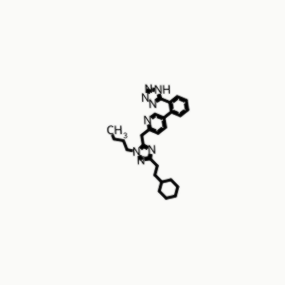 CCCCn1nc(CCC2CCCCC2)nc1Cc1ccc(-c2ccccc2-c2nnn[nH]2)cn1